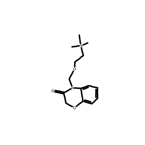 C[Si](C)(C)CCOCN1C(=O)COc2ccccc21